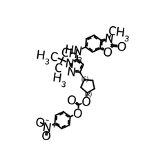 Cn1c(=O)oc2cc(Nc3cc([C@H]4CC[C@@H](OC(=O)Oc5ccc([N+](=O)[O-])cc5)C4)nn3C(C)(C)C)ccc21